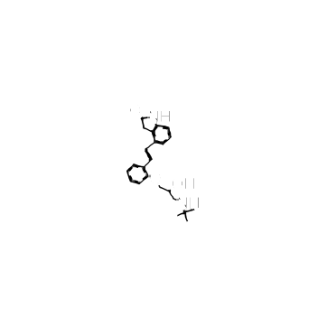 CC(C)(C)NCC(O)COc1ccccc1C=Cc1cccc2c1CC(=O)N2